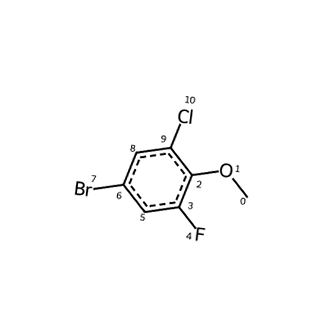 COc1c(F)cc(Br)cc1Cl